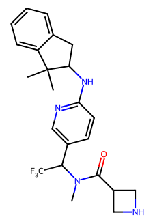 CN(C(=O)C1CNC1)C(c1ccc(NC2Cc3ccccc3C2(C)C)nc1)C(F)(F)F